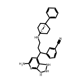 N#Cc1cccc(C(CCNC23CCC(c4ccccc4)(CC2)CC3)c2cc(N)nc3c2NNN3)c1